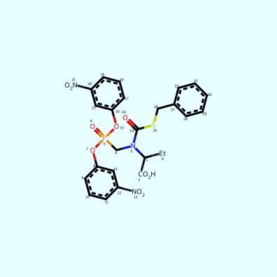 CCC(C(=O)O)N(CP(=O)(Oc1cccc([N+](=O)[O-])c1)Oc1cccc([N+](=O)[O-])c1)C(=O)SCc1ccccc1